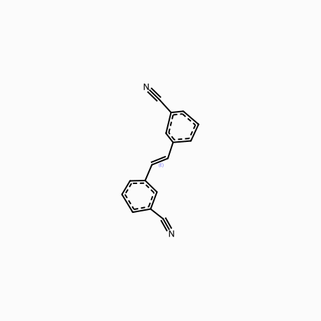 N#Cc1cccc(/C=C/c2cccc(C#N)c2)c1